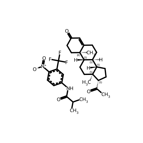 CC(=O)[C@H]1CC[C@H]2[C@@H]3CCC4=CC(=O)CC[C@]4(C)[C@H]3CC[C@]12C.CC(C)C(=O)Nc1ccc([N+](=O)[O-])c(C(F)(F)F)c1